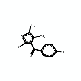 Cc1sc(Br)c(C(=O)c2ccc(Cl)cc2)c1C